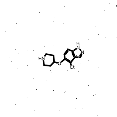 CCc1c(OC2CCNCC2)ccc2[nH]ncc12